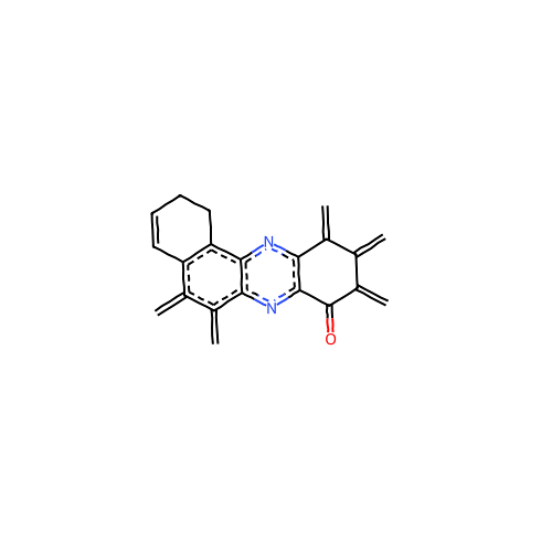 C=C1C(=C)C(=O)c2nc3c(=C)c(=C)c4c(c3nc2C1=C)CCC=C4